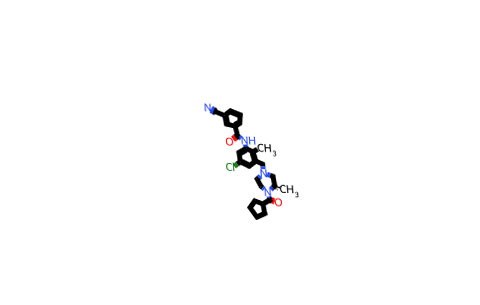 Cc1c(CN2CCN(C(=O)C3CCCC3)[C@@H](C)C2)cc(Cl)cc1NC(=O)c1cccc(C#N)c1